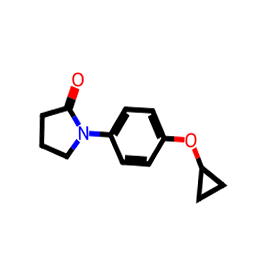 O=C1CCCN1c1ccc(OC2CC2)cc1